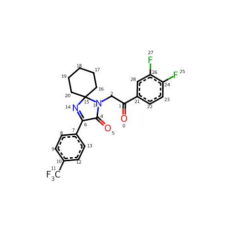 O=C(CN1C(=O)C(c2ccc(C(F)(F)F)cc2)=NC12CCCCC2)c1ccc(F)c(F)c1